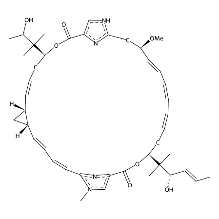 C/C=C/[C@H](O)C(C)(C)[C@@H]1C\C=C/C=C\C=C\[C@H](OC)Cc2nc(c[nH]2)C(=O)O[C@H](C(C)(C)C(C)O)C/C=C\[C@H]2C[C@H]2/C=C/C=C\c2nc(cn2C)C(=O)O1